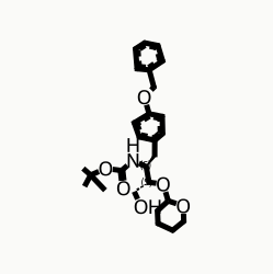 CC(C)(C)OC(=O)N[C@@H](Cc1ccc(OCc2ccccc2)cc1)[C@@H](CO)OC1CCCCO1